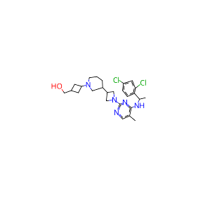 Cc1cnc(N2CC(C3CCCN(C4CC(CO)C4)C3)C2)nc1NC(C)c1ccc(Cl)cc1Cl